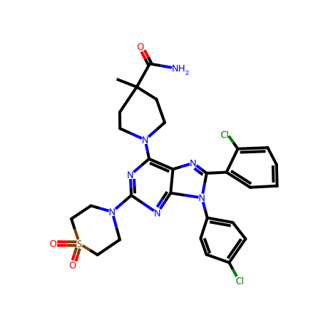 CC1(C(N)=O)CCN(c2nc(N3CCS(=O)(=O)CC3)nc3c2nc(-c2ccccc2Cl)n3-c2ccc(Cl)cc2)CC1